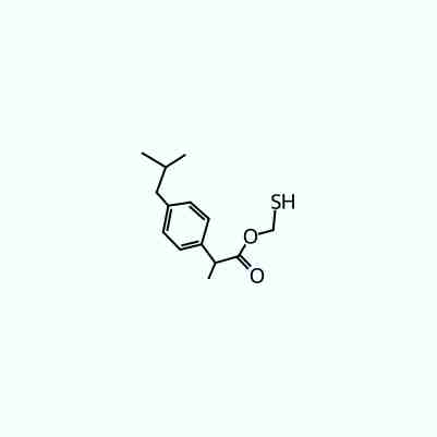 CC(C)Cc1ccc(C(C)C(=O)OCS)cc1